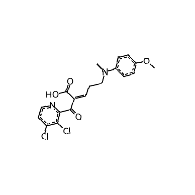 COc1ccc(N(C)CCC=C(C(=O)O)C(=O)c2nccc(Cl)c2Cl)cc1